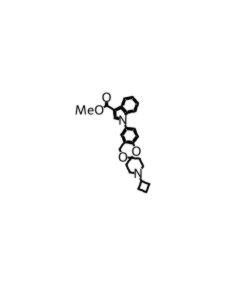 COC(=O)c1cn(-c2ccc3c(c2)COC2(CCN(C4CCC4)CC2)O3)c2ccccc12